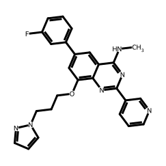 CNc1nc(-c2cccnc2)nc2c(OCCCn3cccn3)cc(-c3cccc(F)c3)cc12